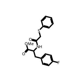 COC(=O)C(Cc1ccc(F)cc1)NC(=O)CSc1ccccc1